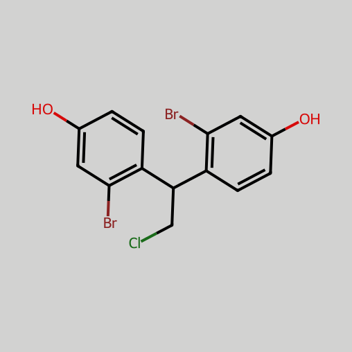 Oc1ccc(C(CCl)c2ccc(O)cc2Br)c(Br)c1